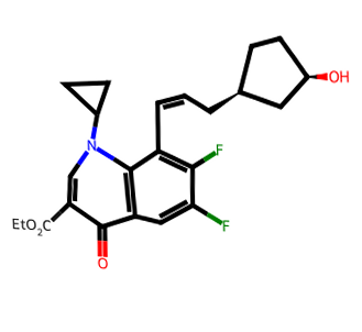 CCOC(=O)c1cn(C2CC2)c2c(/C=C\C[C@H]3CC[C@@H](O)C3)c(F)c(F)cc2c1=O